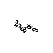 C=CC(=O)N1CCN(c2ccc3ncnc(Nc4ccc(Oc5ccn6ncnc6c5)c(C)c4F)c3n2)C[C@@H]1C1(C)CC1